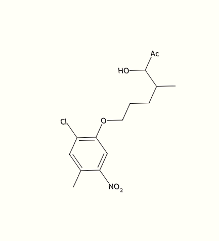 CC(=O)C(O)C(C)CCCOc1cc([N+](=O)[O-])c(C)cc1Cl